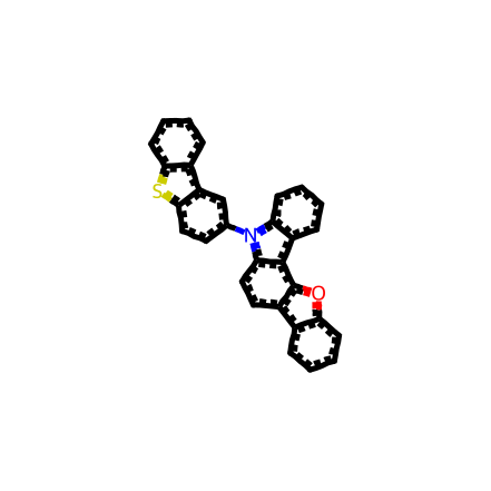 c1ccc2c(c1)oc1c2ccc2c1c1ccccc1n2-c1ccc2sc3ccccc3c2c1